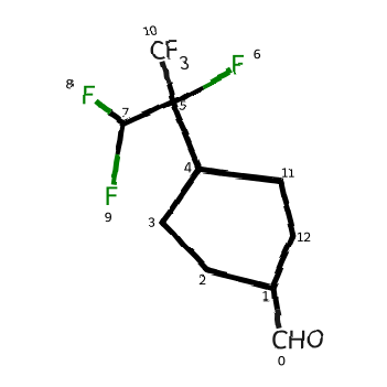 O=CC1CCC(C(F)(C(F)F)C(F)(F)F)CC1